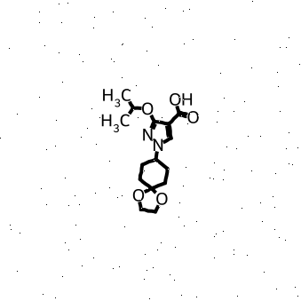 CC(C)Oc1nn(C2CCC3(CC2)OCCO3)cc1C(=O)O